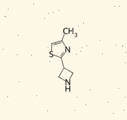 Cc1csc(C2CNC2)n1